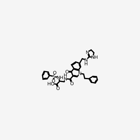 O=C(NCC(NS(=O)(=O)c1ccccc1)C(=O)O)c1cn(CCc2ccccc2)c2cc(CNC3=NCCN3)ccc2c1=O